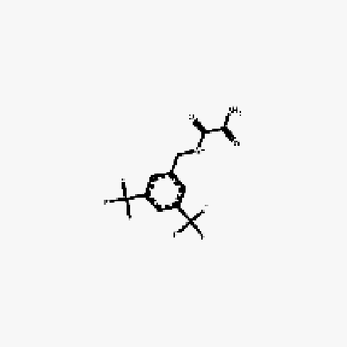 NC(=O)C(=O)NCc1cc(C(F)(F)F)cc(C(F)(F)F)c1